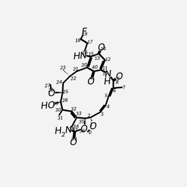 CO[C@H]1/C=C\C=C(/C)C(=O)NC2=CC(=O)C(NCCF)=C(C[C@@H](C)C[C@H](OC)[C@H](O)C(C)/C=C(\C)[C@@H]1OC(N)=O)C2=O